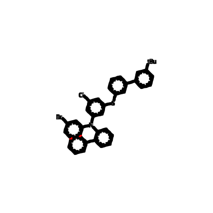 CC(C)(C)c1cccc(-c2cccc(Sc3cc(Cl)cc(N(c4cccc(Br)c4)c4ccccc4-c4ccccc4)c3)c2)c1